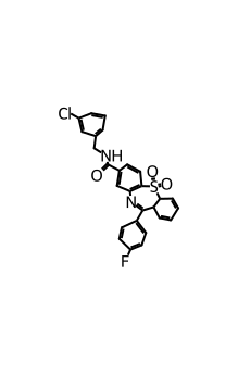 O=C(NCc1cccc(Cl)c1)c1ccc2c(c1)N=C(c1ccc(F)cc1)C1C=CC=CC1S2(=O)=O